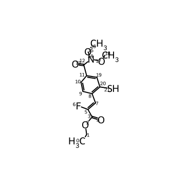 CCOC(=O)C(F)=Cc1ccc(C(=O)N(OC)OC)cc1S